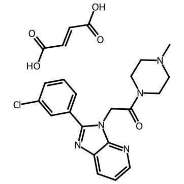 CN1CCN(C(=O)Cn2c(-c3cccc(Cl)c3)nc3cccnc32)CC1.O=C(O)C=CC(=O)O